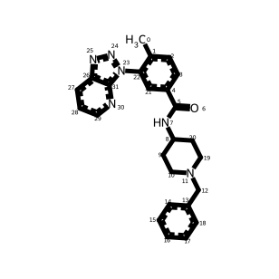 Cc1ccc(C(=O)NC2CCN(Cc3ccccc3)CC2)cc1-n1nnc2cccnc21